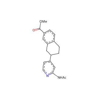 COC(=O)c1ccc2c(c1)CC(c1ccnc(NC(C)=O)c1)CC2